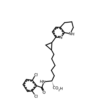 O=C(N[C@H](CCCCCC1CC1c1ccc2c(n1)NCCC2)C(=O)O)c1c(Cl)cccc1Cl